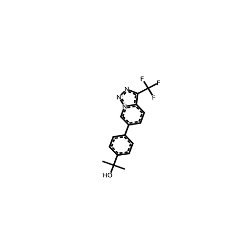 CC(C)(O)c1ccc(-c2ccc3c(C(F)(F)F)nnn3c2)cc1